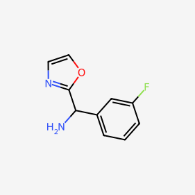 NC(c1cccc(F)c1)c1ncco1